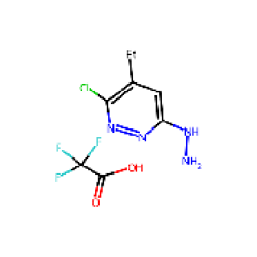 CCc1cc(NN)nnc1Cl.O=C(O)C(F)(F)F